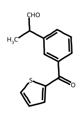 CC(C=O)c1cccc(C(=O)c2cccs2)c1